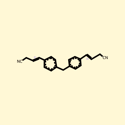 N#CC/C=C/c1ccc(Cc2ccc(/C=C/CC#N)cc2)cc1